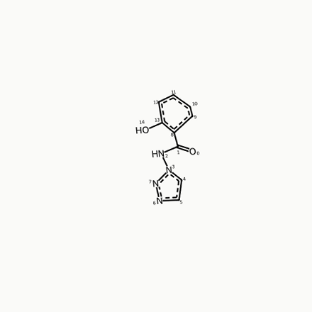 O=C(Nn1ccnn1)c1ccccc1O